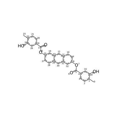 Cc1ccc(C(=O)Oc2ccc3cc4cc(OC(=O)c5ccc(C)c(O)c5)ccc4cc3c2)cc1O